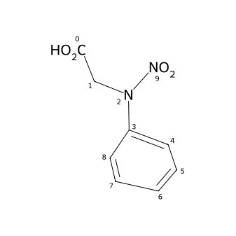 O=C(O)CN(c1ccccc1)[N+](=O)[O-]